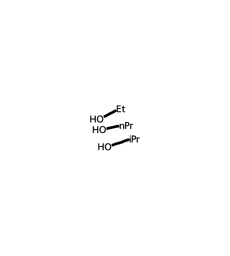 CC(C)O.CCCO.CCO